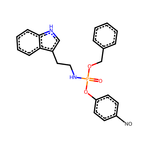 O=Nc1ccc(OP(=O)(NCCc2c[nH]c3ccccc23)OCc2ccccc2)cc1